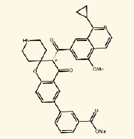 COC(=O)c1cccc(-c2ccc3c(c2)C(=O)[C@@H](C(=O)c2cc(OC)c4ccnc(C5CC5)c4c2)C2(CCNCC2)O3)c1